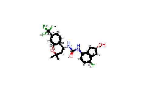 CC1(C)C[C@@H](NC(=O)Nc2ccc(F)c3c2C[C@@H](O)C3)c2ccc(C(F)(F)F)cc2O1